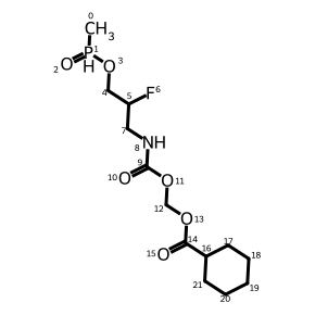 C[PH](=O)OCC(F)CNC(=O)OCOC(=O)C1CCCCC1